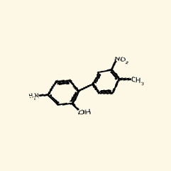 Cc1ccc(-c2ccc(N)cc2O)cc1[N+](=O)[O-]